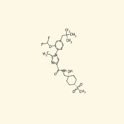 Cc1nc(C(=O)NC[C@]2(O)CC[C@@H](S(C)(=O)=O)CC2)cn1-c1ccc(CC(C)(C)C(F)(F)F)cc1OC(F)F